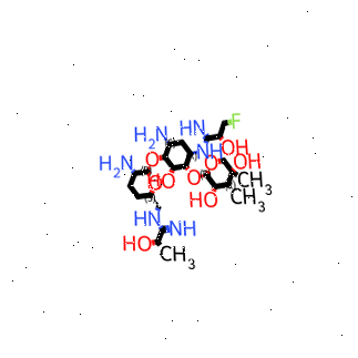 CC(O)C(=N)NC[C@@H]1CCC(N)[C@@H](OC2C(O)C(O[C@H]3OCC(C)(O)[C@H](C)C3O)[C@H](NC(=N)C(O)CF)C[C@@H]2N)O1